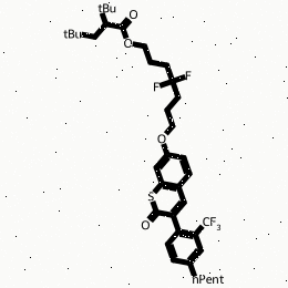 CCCCCc1ccc(-c2cc3ccc(OCCCC(F)(F)CCCOC(=O)C(CC(C)(C)C)C(C)(C)C)cc3sc2=O)c(C(F)(F)F)c1